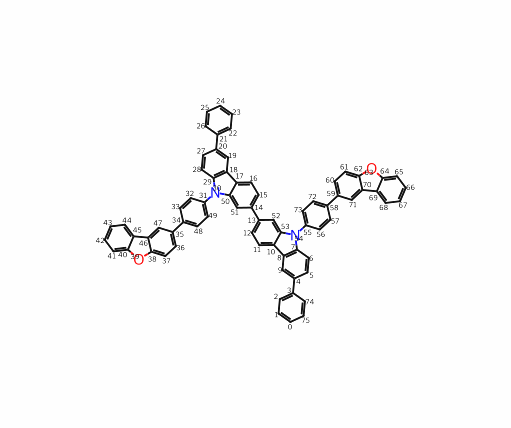 c1ccc(-c2ccc3c(c2)c2ccc(-c4ccc5c6cc(-c7ccccc7)ccc6n(-c6ccc(-c7ccc8oc9ccccc9c8c7)cc6)c5c4)cc2n3-c2ccc(-c3ccc4oc5ccccc5c4c3)cc2)cc1